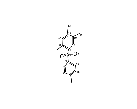 Cc1ccc(S(=O)(=O)c2cc(C)c(C)cc2C)cc1